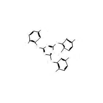 O=C(O)c1ccc(C(=O)O)c(Nc2nc(Nc3cc(C(=O)O)ccc3C(=O)O)nc(Nc3cc(C(=O)O)ccc3C(=O)O)n2)c1